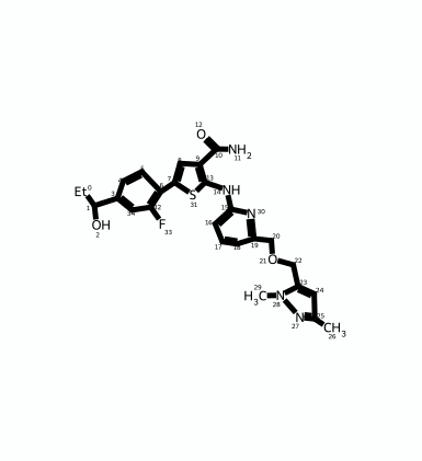 CCC(O)c1ccc(-c2cc(C(N)=O)c(Nc3cccc(COCc4cc(C)nn4C)n3)s2)c(F)c1